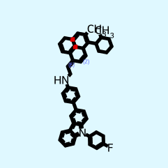 CC1=C(C2CCCCC2C)C(/C=C\C(=C/CNc2ccc(-c3ccc4c(c3)c3ccccc3n4C3=CC=C(F)CC3)cc2)C2=CCCC=C2)CC=C1